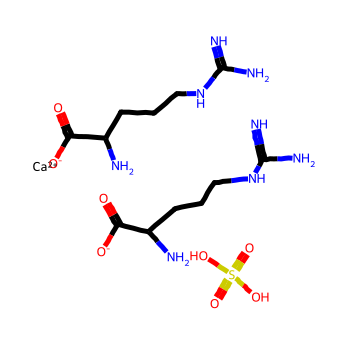 N=C(N)NCCCC(N)C(=O)[O-].N=C(N)NCCCC(N)C(=O)[O-].O=S(=O)(O)O.[Ca+2]